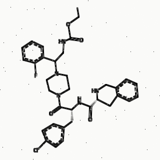 CCOC(=O)NCC(c1ccccc1F)N1CCN(C(=O)[C@@H](Cc2ccc(Cl)cc2)NC(=O)[C@H]2Cc3ccccc3CN2)CC1